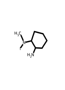 CN(I)C1CCCCC1N